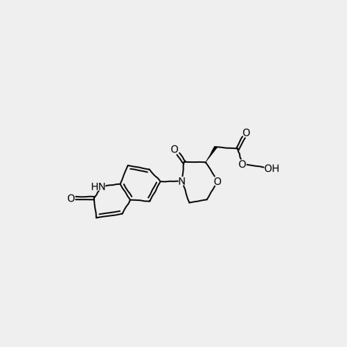 O=C(C[C@H]1OCCN(c2ccc3[nH]c(=O)ccc3c2)C1=O)OO